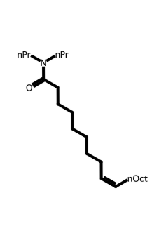 CCCCCCCC/C=C\CCCCCCCC(=O)N(CCC)CCC